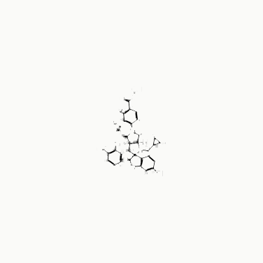 COC(=O)c1ccc(N2C[C@H]3[C@@H](C2=O)[C@H](c2cccc(Cl)c2F)[C@]2(C(=O)Nc4cc(Cl)ccc42)N3CC2CC2)c([N+](=O)[O-])c1C